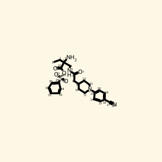 CCC(N)(CNC(=O)CC1CCN(c2ccc(C#N)cc2)CC1)C(=O)OS(=O)(=O)c1ccccc1